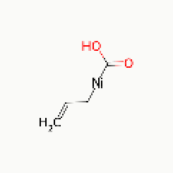 C=C[CH2][Ni][C](=O)O